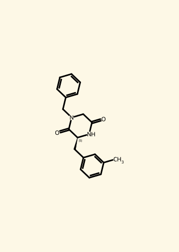 Cc1cccc(C[C@@H]2NC(=O)CN(Cc3ccccc3)C2=O)c1